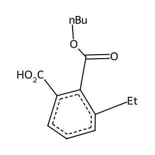 CCCCOC(=O)c1c(CC)cccc1C(=O)O